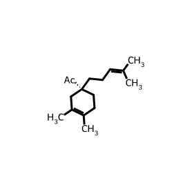 CC(=O)[C@]1(CCC=C(C)C)CCC(C)=C(C)C1